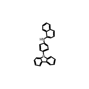 c1ccc2c(Nc3ccc(-n4c5ccccc5c5ccccc54)cc3)cccc2c1